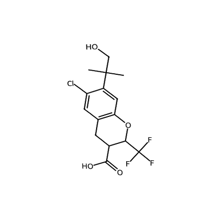 CC(C)(CO)c1cc2c(cc1Cl)CC(C(=O)O)C(C(F)(F)F)O2